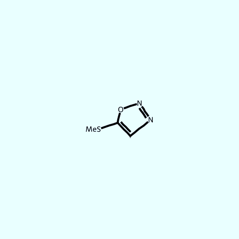 CSc1[c]nno1